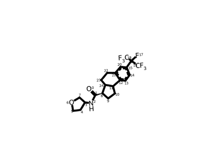 O=C(NC1CCOC1)[C@@H]1CCC2c3ccc(C(F)(C(F)(F)F)C(F)(F)F)cc3CCC21